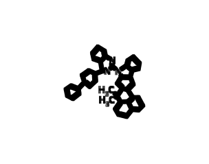 CC1(C)c2cc3c(cc2-c2cccc4cccc1c24)c1ccccc1n3-c1nc(-c2ccc(-c3ccccc3)cc2)c2ccccc2n1